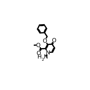 COC(=O)c1c(OCc2ccccc2)c(=O)ccn1N